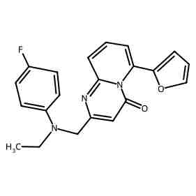 CCN(Cc1cc(=O)n2c(-c3ccco3)cccc2n1)c1ccc(F)cc1